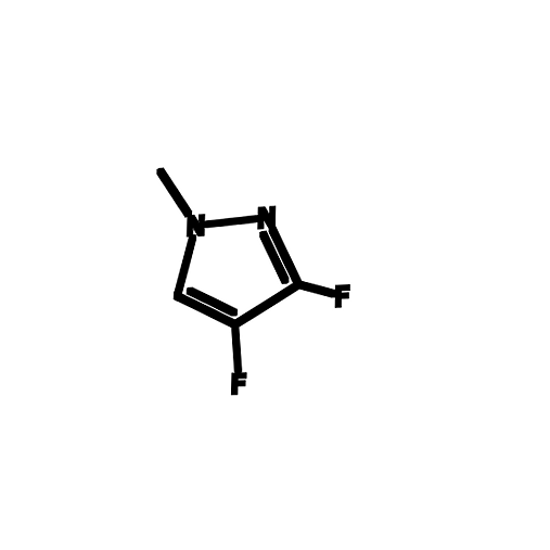 Cn1cc(F)c(F)n1